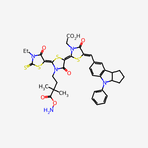 CCN1C(=O)/C(=c2\s/c(=c3/s/c(=C\c4ccc5c(c4)C4CCCC4N5c4ccccc4)c(=O)n3CC(=O)O)c(=O)n2CCC(C)(C)C(=O)ON)SC1=S